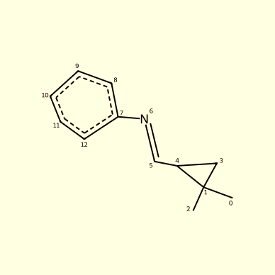 CC1(C)CC1C=Nc1ccccc1